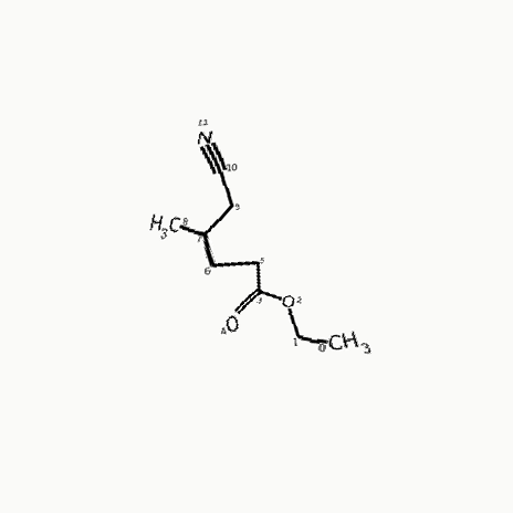 CCOC(=O)CCC(C)CC#N